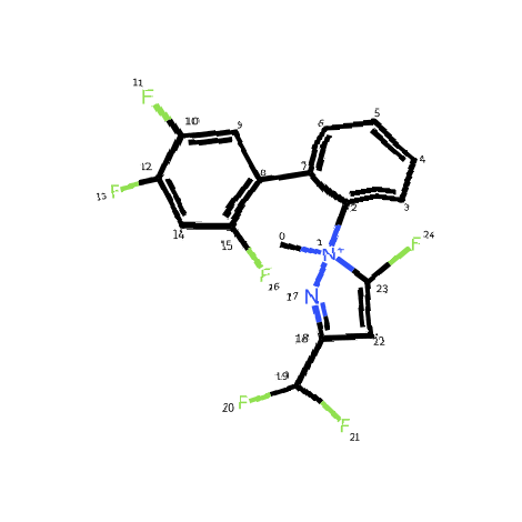 C[N+]1(c2ccccc2-c2cc(F)c(F)cc2F)N=C(C(F)F)[C]=C1F